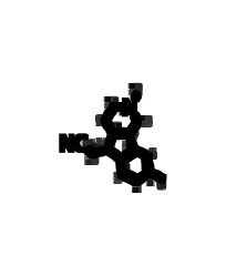 Cc1ccc2c(c1)C1=C(CCN(C)C1)C2CC#N